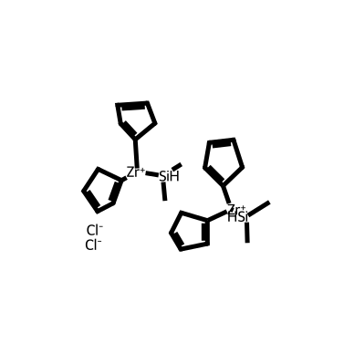 C[SiH](C)[Zr+]([C]1=CC=CC1)[C]1=CC=CC1.C[SiH](C)[Zr+]([C]1=CC=CC1)[C]1=CC=CC1.[Cl-].[Cl-]